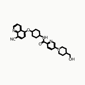 N#Cc1ccc(OC2CCC(NC(=O)c3ccc(N4CCC(CO)CC4)cn3)CC2)c2cccnc12